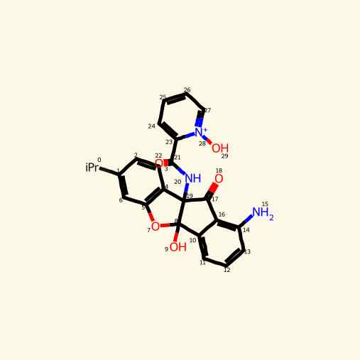 CC(C)c1ccc2c(c1)OC1(O)c3cccc(N)c3C(=O)C21NC(=O)c1cccc[n+]1O